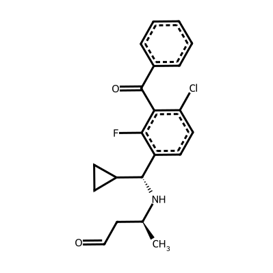 C[C@@H](CC=O)N[C@@H](c1ccc(Cl)c(C(=O)c2ccccc2)c1F)C1CC1